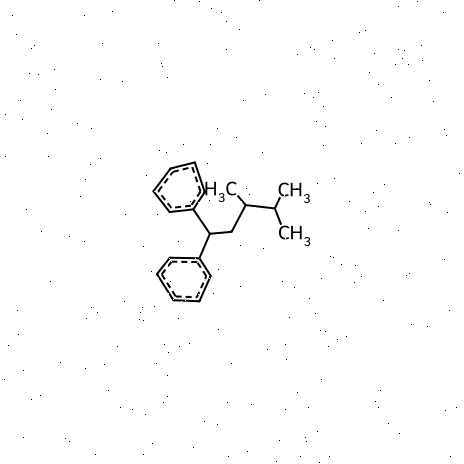 CC(C)C(C)CC(c1ccccc1)c1ccccc1